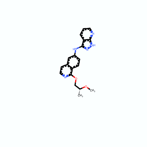 CO[C@H](C)COc1nccc2cc(Nc3n[nH]c4ncccc34)ccc12